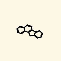 [c]1[c]c2ccccc2c2c1-c1ccccc1[CH]2